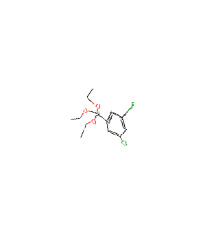 CCO[Si](OCC)(OCC)c1cc(F)cc(Cl)c1